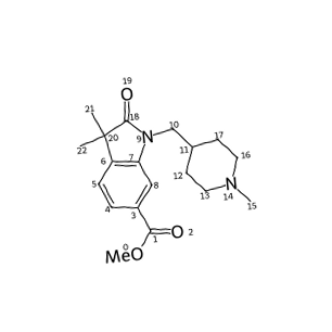 COC(=O)c1ccc2c(c1)N(CC1CCN(C)CC1)C(=O)C2(C)C